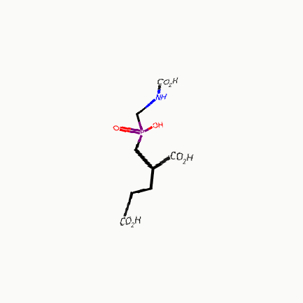 O=C(O)CCC(CP(=O)(O)CNC(=O)O)C(=O)O